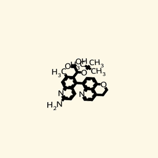 Cc1cc2nc(N)ccc2c(-c2ccc3c4c(ccnc24)CCO3)c1C(OC(C)(C)C)C(=O)O